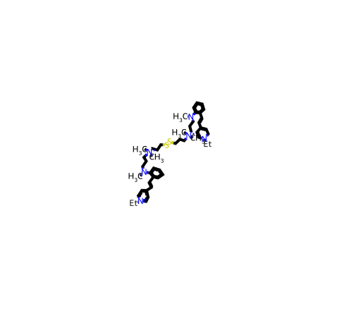 CCN1C=CC(/C=C/c2ccccc2N(C)CCC[N+](C)(C)CCCSSCCC[N+](C)(C)CCCN(C)c2ccccc2/C=C/c2cc[n+](CC)cc2)=CC1